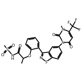 CC(Oc1ccccc1-c1nsc2ccc(-n3c(=O)cc(C(F)(F)F)n(C)c3=O)cc12)C(=O)NS(C)(=O)=O